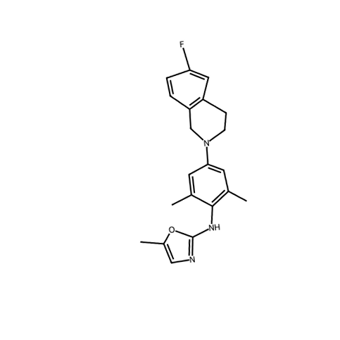 Cc1cnc(Nc2c(C)cc(N3CCc4cc(F)ccc4C3)cc2C)o1